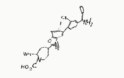 CC(C)C1CC(c2nc3cc(-c4ccc(C(N)=O)cc4Cl)ccc3o2)CCN1C(=O)O